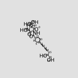 COC1(C(NC(=O)c2ccc(C#CC#CCC(O)CO)cc2)C(=O)NO)CS(O)(O)C1